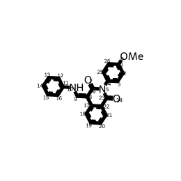 COc1ccc(N2C(=O)C(=CNc3ccccc3)c3ccccc3C2=O)cc1